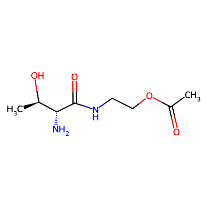 CC(=O)OCCNC(=O)[C@H](N)[C@@H](C)O